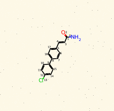 NC(=O)C=Cc1ccc(-c2ccc(Cl)cc2)cc1